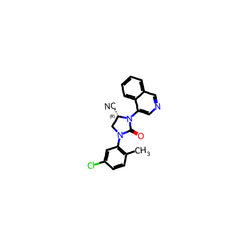 Cc1ccc(Cl)cc1N1C[C@H](C#N)N(c2cncc3ccccc23)C1=O